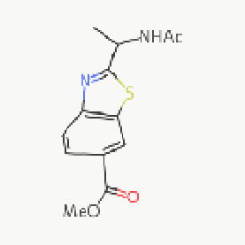 COC(=O)c1ccc2nc(C(C)NC(C)=O)sc2c1